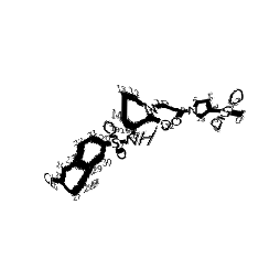 CS(=O)(=O)C1CCN(C(=O)CN2CCC[C@H](NS(=O)(=O)c3ccc4cc(Cl)ccc4c3)C2=O)C1